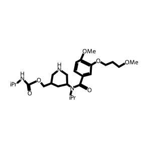 COCCCOc1cc(C(=O)N(C(C)C)C2CNCC(COC(=O)NC(C)C)C2)ccc1OC